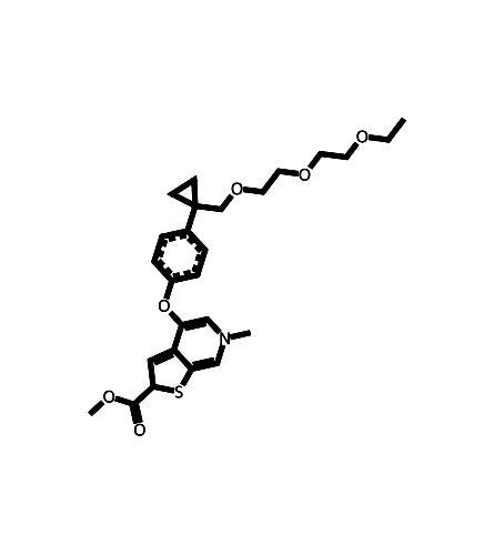 CCOCCOCCOCC1(c2ccc(OC3=CN(C)C=C4SC(C(=O)OC)C=C34)cc2)CC1